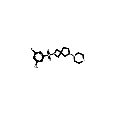 N#Cc1cc(F)cc(S(=O)(=O)N2CC3(CC[C@@H](N4CCOCC4)C3)C2)c1